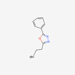 CC(C)(C)CCc1nnc(-c2ccccc2)o1